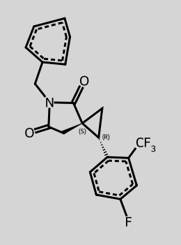 O=C1C[C@]2(C[C@@H]2c2ccc(F)cc2C(F)(F)F)C(=O)N1Cc1ccccc1